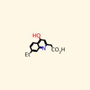 CCc1ccc2c(O)cc(CC(=O)O)nc2c1